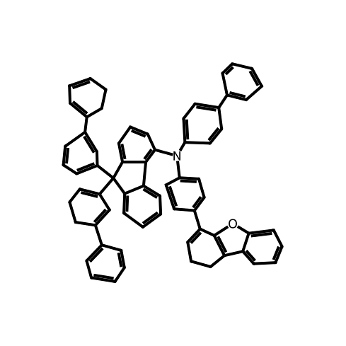 C1=CCCC(c2cccc(C3(C4=CCCC(c5ccccc5)=C4)c4ccccc4-c4c(N(c5ccc(C6=CCCc7c6oc6ccccc76)cc5)c5ccc(-c6ccccc6)cc5)cccc43)c2)=C1